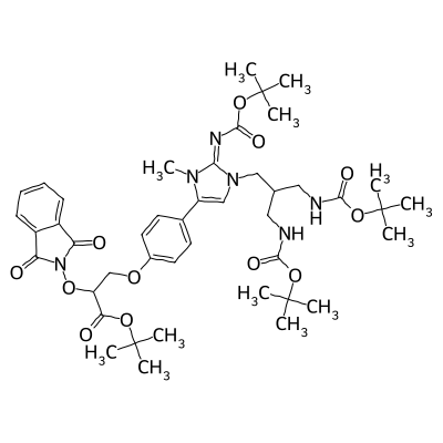 Cn1c(-c2ccc(OCC(ON3C(=O)c4ccccc4C3=O)C(=O)OC(C)(C)C)cc2)cn(CC(CNC(=O)OC(C)(C)C)CNC(=O)OC(C)(C)C)/c1=N\C(=O)OC(C)(C)C